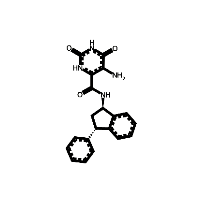 Nc1c(C(=O)N[C@@H]2C[C@@H](c3ccccc3)c3ccccc32)[nH]c(=O)[nH]c1=O